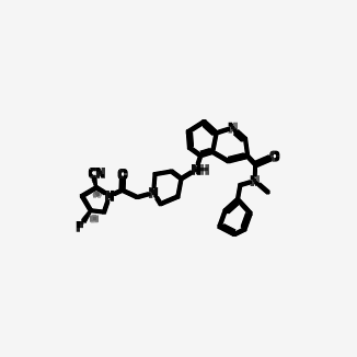 CN(Cc1ccccc1)C(=O)c1cnc2cccc(NC3CCN(CC(=O)N4C[C@@H](F)C[C@H]4C#N)CC3)c2c1